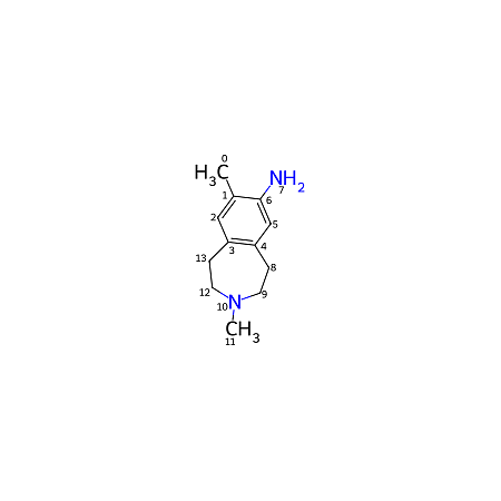 Cc1cc2c(cc1N)CCN(C)CC2